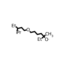 CCC(CCOCCCCC(C)([O])CC)C(C)C